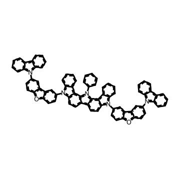 c1ccc(-n2c3c(ccc4c3c3ccccc3n4-c3ccc4oc5ccc(-n6c7ccccc7c7ccccc76)cc5c4c3)c3ccc4c(c5ccccc5n4-c4ccc5oc6ccc(-n7c8ccccc8c8ccccc87)cc6c5c4)c32)cc1